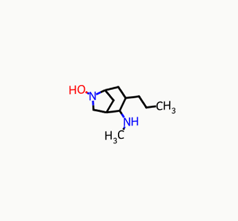 CCCC1CC2CC(CN2O)C1NC